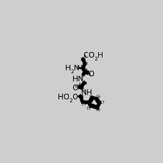 N[C@@H](CCC(=O)O)C(=O)NCC(=O)N[C@@H](Cc1ccccc1)C(=O)O